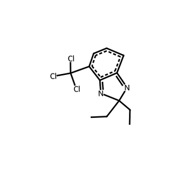 CCC1(CC)N=c2cccc(C(Cl)(Cl)Cl)c2=N1